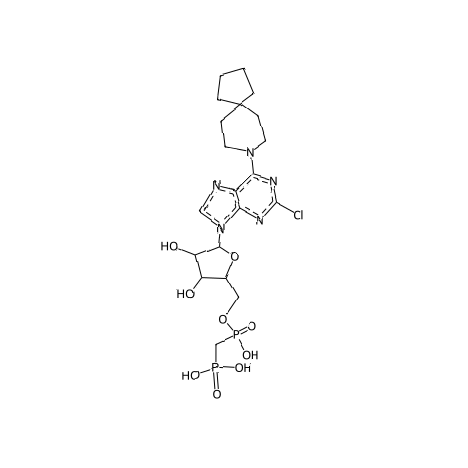 O=P(O)(O)CP(=O)(O)OCC1OC(n2cnc3c(N4CCC5(CCCC5)CC4)nc(Cl)nc32)C(O)C1O